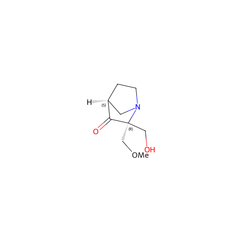 COC[C@]1(CO)C(=O)[C@H]2CCN1C2